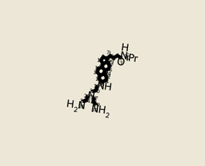 CC(C)NC(=O)CC[C@@H](C)C1CCC2C3CCC4C[C@@H](NCCCN(CCCN)CCCN)CC[C@]4(C)C3CC[C@@]21C